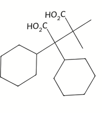 CC(C)(C(=O)O)C(C(=O)O)(C1CCCCC1)C1CCCCC1